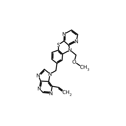 C=Cc1ncnc2ncn(Cc3ccc4c(c3)N(COC)c3nccnc3S4)c12